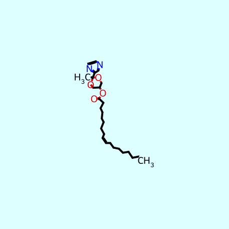 CCCCCCCC/C=C\CCCCCCCC(=O)OC1COC(C)(c2cnccn2)OC1